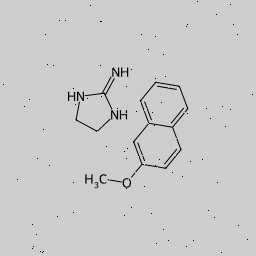 COc1ccc2ccccc2c1.N=C1NCCN1